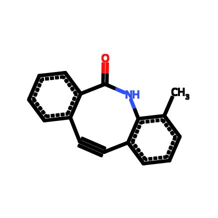 Cc1cccc2c1NC(=O)c1ccccc1C#C2